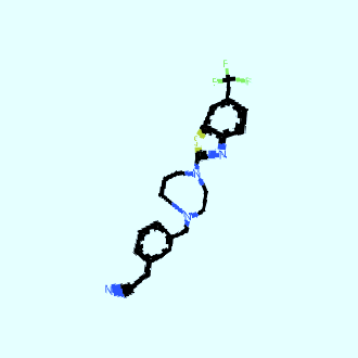 N#CCc1cccc(CN2CCCN(c3nc4ccc(C(F)(F)F)cc4s3)CC2)c1